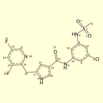 CS(=O)(=O)Nc1cc(Cl)cc(NC(=O)c2c[nH]c(Cc3ncc(F)cc3F)c2)c1